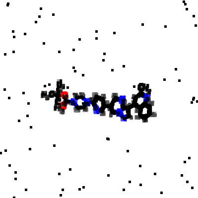 Cc1cc(-c2cnn3cc(-c4ccc(N5CCN(C(=O)OC(C)(C)C)CC5)nc4)cnc23)c2ccccc2n1